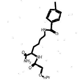 CCCOCC(=O)NC(CCCCNC(=O)c1ccc(C)cc1)C(N)=O